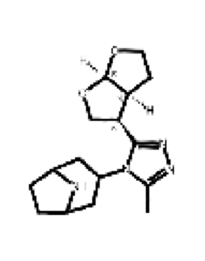 Cc1nnc([C@H]2CO[C@H]3OCC[C@H]32)n1C1CC2CCC(C1)N2